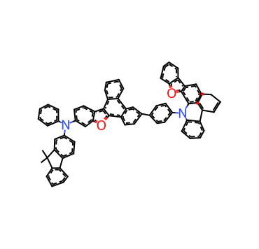 CC1(C)c2ccccc2-c2ccc(N(c3ccccc3)c3ccc4c(c3)oc3c5ccc(-c6ccc(N(c7ccccc7C7=CCCC=C7)c7cccc8c7oc7ccccc78)cc6)cc5c5ccccc5c43)cc21